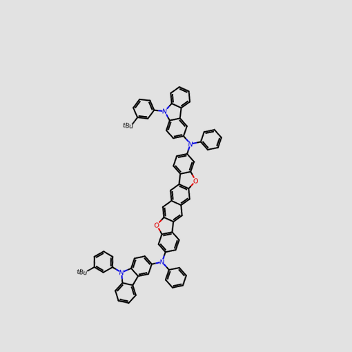 CC(C)(C)c1cccc(-n2c3ccccc3c3cc(N(c4ccccc4)c4ccc5c(c4)oc4cc6cc7c(cc6cc45)oc4cc(N(c5ccccc5)c5ccc6c(c5)c5ccccc5n6-c5cccc(C(C)(C)C)c5)ccc47)ccc32)c1